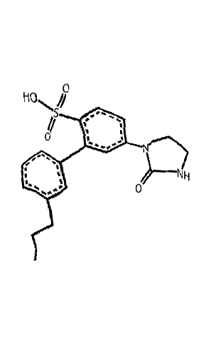 CCCc1cccc(-c2cc(N3CCNC3=O)ccc2S(=O)(=O)O)c1